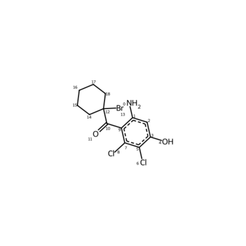 Nc1cc(O)c(Cl)c(Cl)c1C(=O)C1(Br)CCCCC1